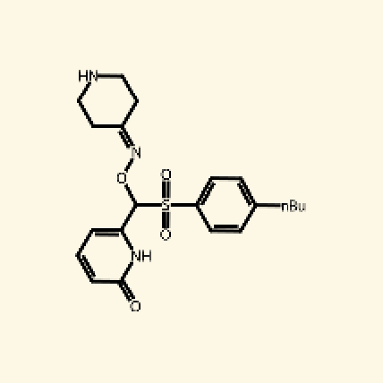 CCCCc1ccc(S(=O)(=O)C(ON=C2CCNCC2)c2cccc(=O)[nH]2)cc1